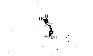 N#Cc1cc(NC(=O)CCCc2ccc(B(O)O)cc2)ccc1S